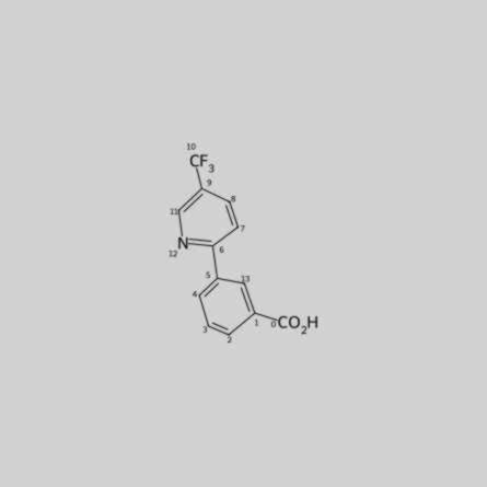 O=C(O)c1cccc(-c2ccc(C(F)(F)F)cn2)c1